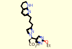 CCOc1ncc([C@@H](CC(=O)O)n2ccc(CCCc3ccc4c(n3)NCCC4)n2)cn1